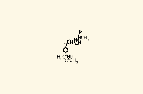 CC(=O)N[C@@H](C)c1ccc(O[C@@H]2CCN(c3ccnc(N(C)CC4CC4)n3)C2)cc1